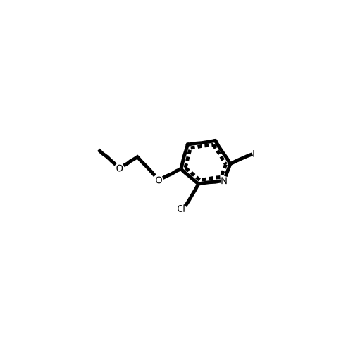 COCOc1ccc(I)nc1Cl